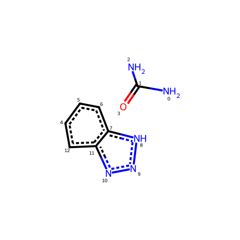 NC(N)=O.c1ccc2[nH]nnc2c1